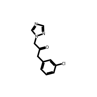 O=C(Cc1cccc(Cl)c1)Cn1cncn1